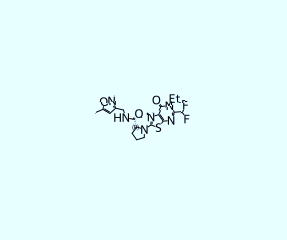 CCn1c(C(F)F)nc2sc(N3CCC[C@@H]3C(=O)NCc3cc(C)on3)nc2c1=O